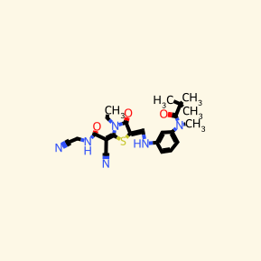 CCn1c(=C(C#N)C(=O)NCC#N)sc(=CNc2cccc(N(C)C(=O)C(C)(C)C)c2)c1=O